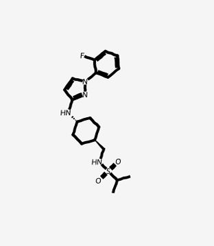 CC(C)S(=O)(=O)NC[C@H]1CC[C@H](Nc2ccn(-c3ccccc3F)n2)CC1